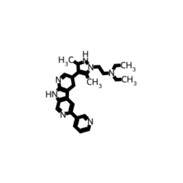 CCN(CC)CCN1NC(C)C(C2C=Nc3[nH]c4cnc(-c5cccnc5)cc4c3C2)=C1C